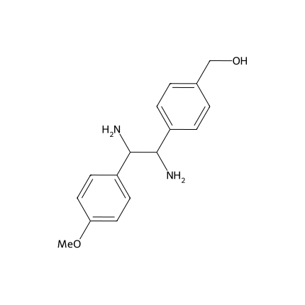 COc1ccc(C(N)C(N)c2ccc(CO)cc2)cc1